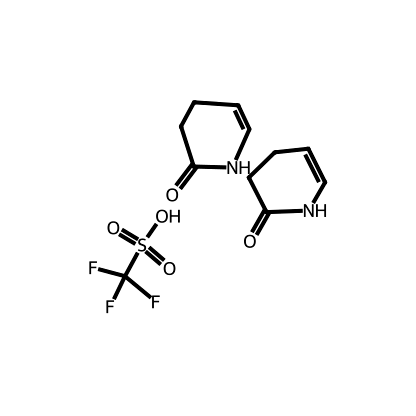 O=C1CCC=CN1.O=C1CCC=CN1.O=S(=O)(O)C(F)(F)F